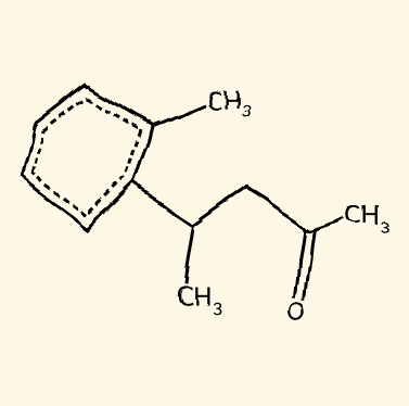 CC(=O)CC(C)c1ccccc1C